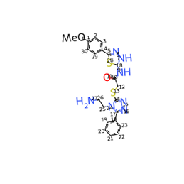 COc1ccc(C2=NNC(NC(=O)CSc3nnc(-c4ccccc4)n3CCN)S2)cc1